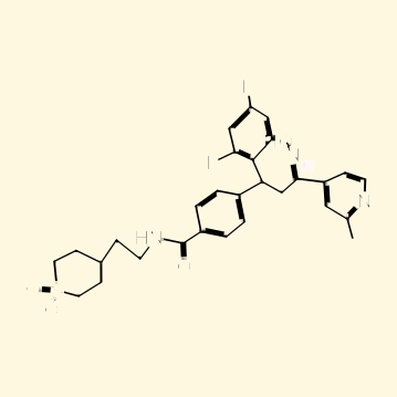 Cc1cc(/C(CC(c2ccc(C(=O)NCCC3CCS(=O)(=O)CC3)cc2)c2ccc(F)cc2F)=N/O)ccn1